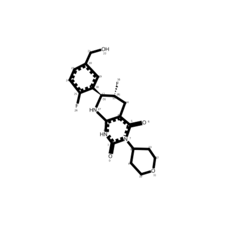 O=c1[nH]c2c(c(=O)n1C1CCOCC1)C[C@@H](F)[C@H](c1cc(CO)ccc1F)N2